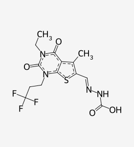 CCn1c(=O)c2c(C)c(/C=N/NC(=O)O)sc2n(CCC(F)(F)F)c1=O